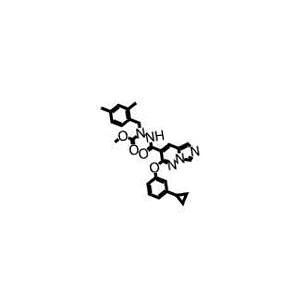 COC(=O)N(Cc1ccc(C)cc1C)NC(=O)c1cc2cncn2nc1Oc1cccc(C2CC2)c1